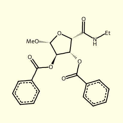 CCNC(=O)[C@H]1O[C@@H](OC)[C@H](OC(=O)c2ccccc2)[C@H]1OC(=O)c1ccccc1